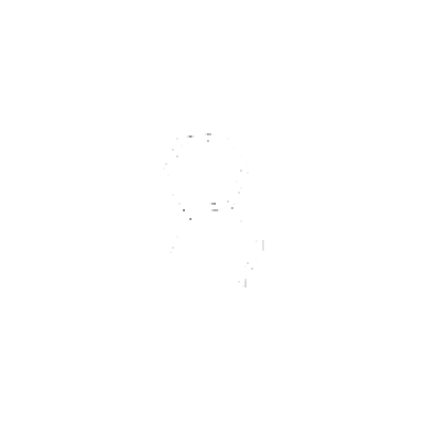 C[n+]1ccccc1N=N